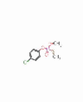 COP(=O)(Oc1ccc(Cl)cc1)SC